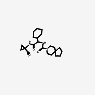 N#CC1(NC(=O)C(NC(=O)N2CCC3(CCCC3)CC2)C2CCCCC2)CC1